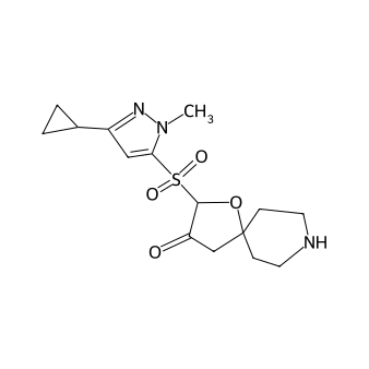 Cn1nc(C2CC2)cc1S(=O)(=O)C1OC2(CCNCC2)CC1=O